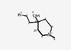 CC(C)CCC1(O)CCN(C)CC1